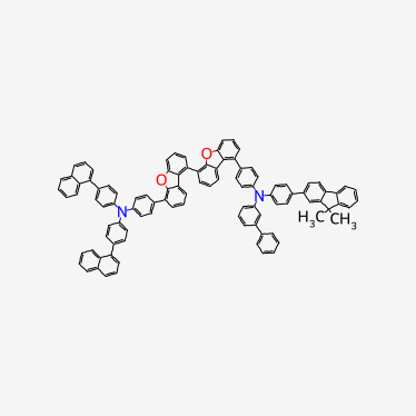 CC1(C)c2ccccc2-c2ccc(-c3ccc(N(c4ccc(-c5cccc6oc7c(-c8cccc9oc%10c(-c%11ccc(N(c%12ccc(-c%13cccc%14ccccc%13%14)cc%12)c%12ccc(-c%13cccc%14ccccc%13%14)cc%12)cc%11)cccc%10c89)cccc7c56)cc4)c4cccc(-c5ccccc5)c4)cc3)cc21